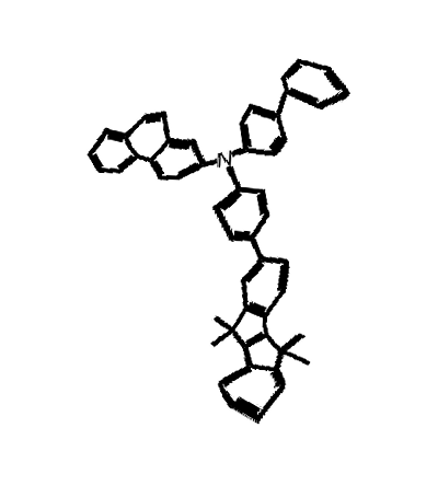 CC1(C)C2=C(c3ccccc31)C(C)(C)c1cc(-c3ccc(N(c4ccc(-c5ccccc5)cc4)c4ccc5c(ccc6ccccc65)c4)cc3)ccc12